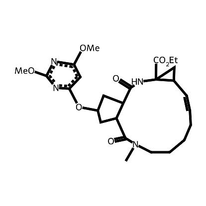 CCOC(=O)C12CC1C=CCCCCN(C)C(=O)C1CC(Oc3cc(OC)nc(OC)n3)CC1C(=O)N2